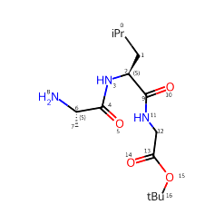 CC(C)C[C@H](NC(=O)[C@H](C)N)C(=O)NCC(=O)OC(C)(C)C